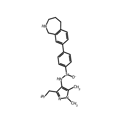 Cc1c(N[S+]([O-])c2ccc(-c3ccc4c(c3)CNCCC4)cc2)c(CC(C)C)nn1C